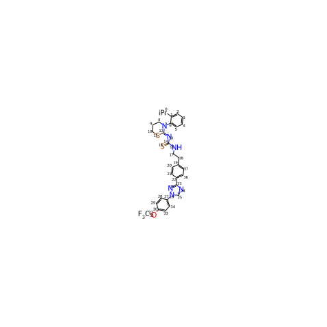 CC(C)c1ccccc1N1CCCS/C1=N\C(=S)NCCc1ccc(-c2ncn(-c3ccc(OC(F)(F)F)cc3)n2)cc1